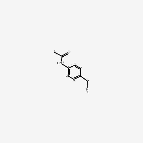 CC(=S)Nc1ccc(CF)cc1